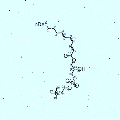 CCCCCCCCCCCCC/C=C/C=C\C=C\C(=O)OC[C@@H](O)COP(=O)([O-])OCC[N+](C)(C)C